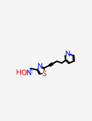 O/N=C/c1csc(C#CCCc2cccnc2)n1